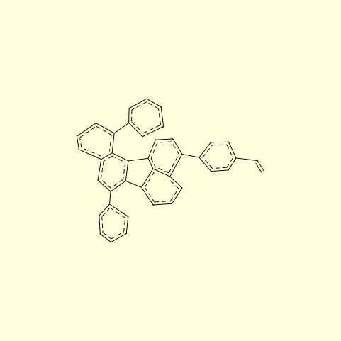 C=Cc1ccc(-c2ccc3c4c(cccc24)-c2c(-c4ccccc4)cc4cccc(-c5ccccc5)c4c2-3)cc1